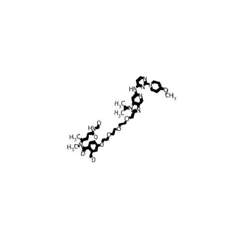 COC1CCN(c2nccc(Nc3cc4c(cn3)nc(COCCOCCOCCOc3ccc(C(=O)N(C)C(C)CCC(=O)NC=O)c(C=O)c3)n4C(C)C)n2)CC1